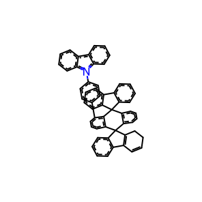 C1=CC2=C(CC1)C1(c3ccccc32)c2ccccc2C2(c3ccccc3-c3ccccc32)c2c(-c3ccc(-n4c5ccccc5c5ccccc54)cc3)cccc21